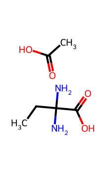 CC(=O)O.CCC(N)(N)C(=O)O